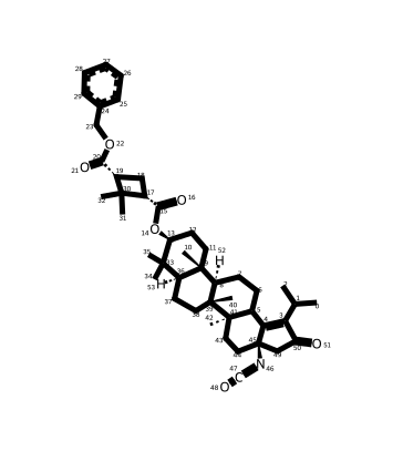 CC(C)C1=C2C3CC[C@@H]4[C@@]5(C)CC[C@H](OC(=O)[C@H]6C[C@@H](C(=O)OCc7ccccc7)C6(C)C)C(C)(C)[C@@H]5CC[C@@]4(C)[C@]3(C)CC[C@@]2(N=C=O)CC1=O